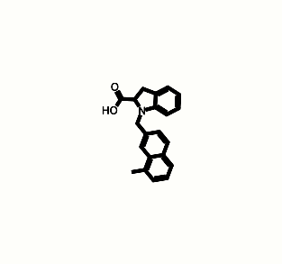 Cc1cccc2ccc(CN3c4ccccc4CC3C(=O)O)cc12